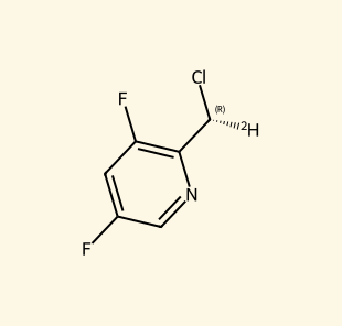 [2H][C@@H](Cl)c1ncc(F)cc1F